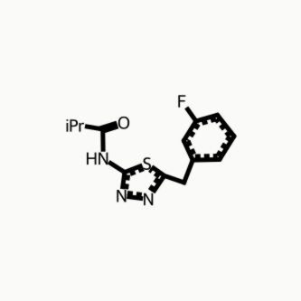 CC(C)C(=O)Nc1nnc(Cc2cccc(F)c2)s1